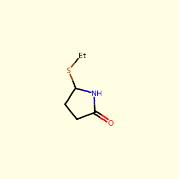 CCSC1CCC(=O)N1